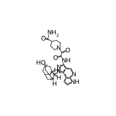 NC(=O)C1CCN(C(=O)C(=O)Nc2nn([C@H]3[C@@H]4CC5C[C@H]3C[C@@](O)(C5)C4)c3c2cnc2[nH]ccc23)CC1